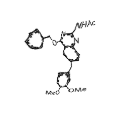 COc1ccc(-c2ccc3nc(NC(C)=O)nc(OCc4ccccc4)c3c2)cc1OC